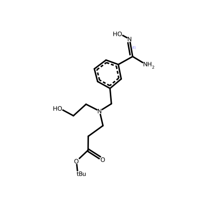 CC(C)(C)OC(=O)CCN(CCO)Cc1cccc(/C(N)=N\O)c1